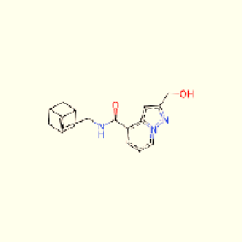 O=C(NCC1=C2C3CC(C1)CC2C3)c1cccn2nc(CO)cc12